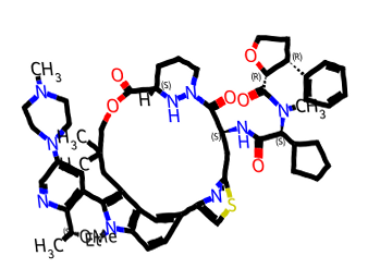 CCn1c(-c2cc(N3CCN(C)CC3)cnc2[C@H](C)OC)c2c3cc(ccc31)-c1csc(n1)C[C@H](NC(=O)[C@H](C1CCCC1)N(C)C(=O)[C@@H]1OCC[C@@H]1c1ccccc1)C(=O)N1CCC[C@H](N1)C(=O)OCC(C)(C)C2